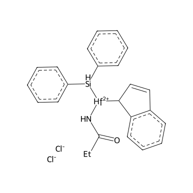 CCC(=O)[NH][Hf+2]([CH]1C=Cc2ccccc21)[SiH](c1ccccc1)c1ccccc1.[Cl-].[Cl-]